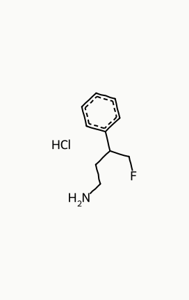 Cl.NCCC(CF)c1ccccc1